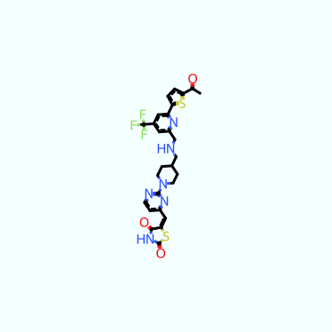 CC(=O)c1ccc(-c2cc(C(F)(F)F)cc(CNCC3CCN(c4nccc(C=C5SC(=O)NC5=O)n4)CC3)n2)s1